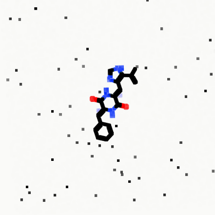 C=C(C)c1[nH]cnc1/C=c1\[nH]c(=O)/c(=C/c2ccccc2)[nH]c1=O